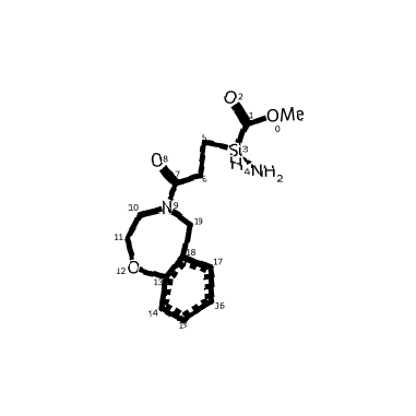 COC(=O)[Si@@H](N)CCC(=O)N1CCOc2ccccc2C1